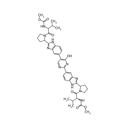 COC(=O)NC(C(=O)N1CCCC1c1nc2cc(-c3cnc(-c4ccc5[nH]c(C6CCCN6C(=O)[C@@H](NC(=O)OC)C(C)C)nc5c4)nc3O)ccc2[nH]1)C(C)C